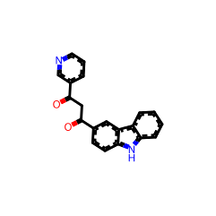 O=C(CC(=O)c1ccc2[nH]c3ccccc3c2c1)c1cccnc1